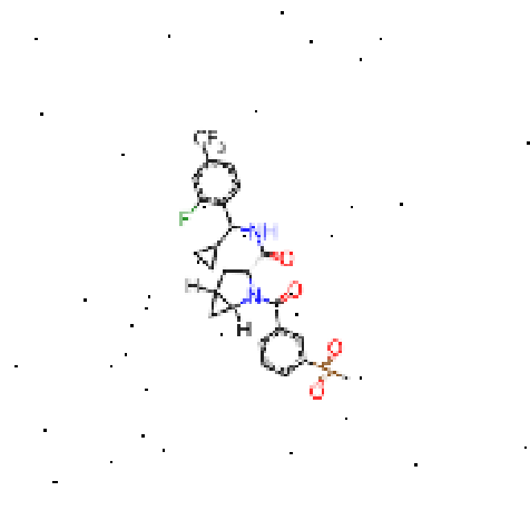 CS(=O)(=O)c1cccc(C(=O)N2[C@@H](C(=O)NC(c3ccc(C(F)(F)F)cc3F)C3CC3)C[C@H]3C[C@H]32)c1